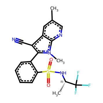 Cc1cnc2c(c1)c(C#N)c(-c1ccccc1S(=O)(=O)N[C@@H](C)C(F)(F)F)n2C